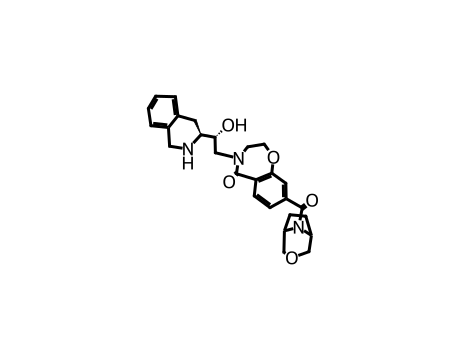 O=C1c2ccc(C(=O)N3C4CCC3COC4)cc2OCCN1C[C@@H](O)[C@@H]1Cc2ccccc2CN1